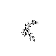 N#CCC(=O)N1CC(Cn2c(NC(=O)c3ccc(-c4cn[nH]c4)s3)nc3ccccc32)C1